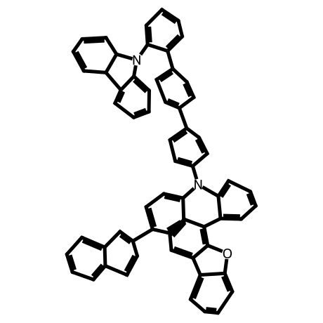 C1=CC2c3ccccc3N(c3ccccc3-c3ccc(-c4ccc(N(c5ccc(-c6ccc7ccccc7c6)cc5)c5ccccc5-c5cccc6c5oc5ccccc56)cc4)cc3)C2C=C1